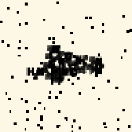 Nc1oc2cc(-c3cncnc3)cnc2c1C(=O)Nc1cnccc1N1CC(N)CC(C(F)(F)F)C1